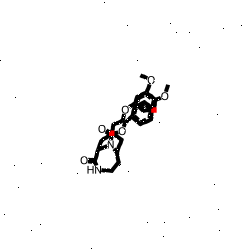 COc1ccc(OCCC2CC3CCNC(=O)C(C2)N3C(=O)OCc2ccccc2)cc1OC